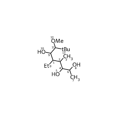 CCC(C(C)C(O)C(C)O)C(O)C(OC)C(C)(C)C